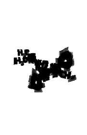 Cc1nc(N/N=C2\C(=O)N(c3nc(-c4ccccc4)c(C)s3)N=C2c2ccccc2)sc1C